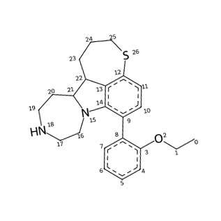 CCOc1ccccc1-c1ccc2c3c1N1CCNCCC1C3CCCS2